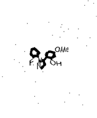 COc1ccc(-c2ccnn2-c2ccccc2F)c(O)c1